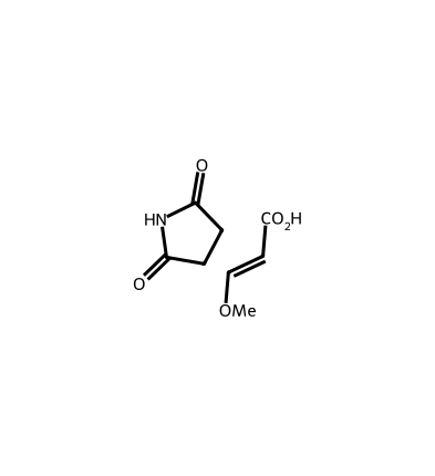 COC=CC(=O)O.O=C1CCC(=O)N1